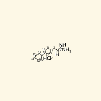 Cl.N=C(N)NCc1ccc(-c2ccccc2)cc1